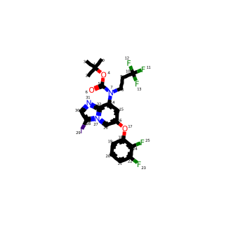 CC(C)(C)OC(=O)N(CCC(F)(F)F)c1cc(Oc2cccc(F)c2F)cn2c(I)cnc12